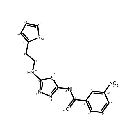 O=C(Nc1nnc(NCCc2cccs2)s1)c1cccc([N+](=O)[O-])c1